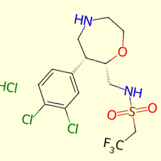 Cl.O=S(=O)(CC(F)(F)F)NC[C@H]1OCCNC[C@H]1c1ccc(Cl)c(Cl)c1